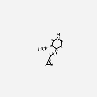 C1CC(OCC2CC2)CCN1.Cl